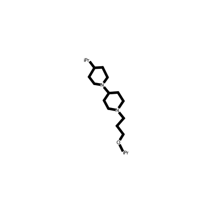 CC(C)OCCCN1CCC(N2CCC(C(C)C)CC2)CC1